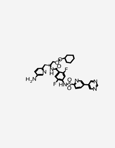 Nc1ccc(C[C@@H](COOC2CCCCC2)NC(=O)c2cc(F)c(NS(=O)(=O)c3ccc(-c4cncnc4)cn3)cc2F)nc1